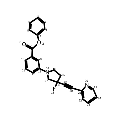 O=C(Oc1ccccc1)c1cccc(N2CCC(F)(C#Cc3ccccn3)C2)c1